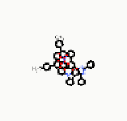 Cc1ccc(-c2ccc3c(c2)c2cc(-c4ccc(C)cc4)ccc2n3-c2c(-c3ccccc3-n3c4ccccc4c4ccccc43)cc(-c3cc(-c4ccccc4)nc(-c4ccccc4)n3)cc2-c2ccccc2-n2c3ccccc3c3ccccc32)cc1